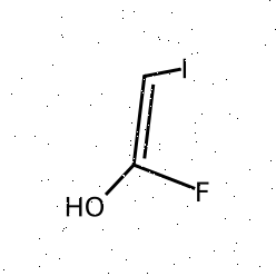 OC(F)=CI